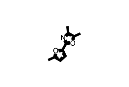 Cc1ccc(-c2nc(C)c(C)o2)o1